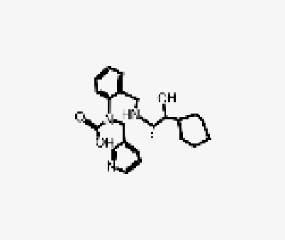 C[C@H](NCc1ccccc1N(Cc1cccnc1)C(=O)O)[C@@H](O)C1CCCCC1